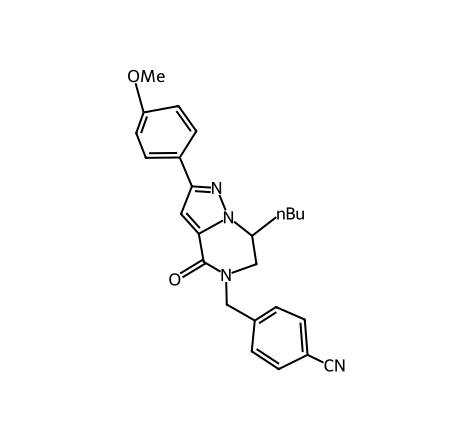 CCCCC1CN(Cc2ccc(C#N)cc2)C(=O)c2cc(-c3ccc(OC)cc3)nn21